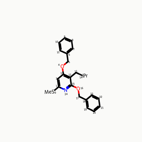 CSc1cc(OCc2ccccc2)c(CC(C)C)c(OCc2ccccc2)n1